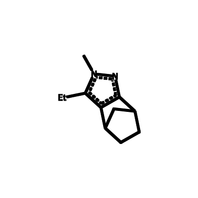 CCc1c2c(nn1C)C1CCC2C1